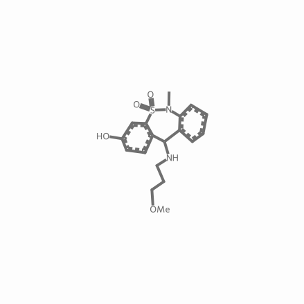 COCCCNC1c2ccccc2N(C)S(=O)(=O)c2cc(O)ccc21